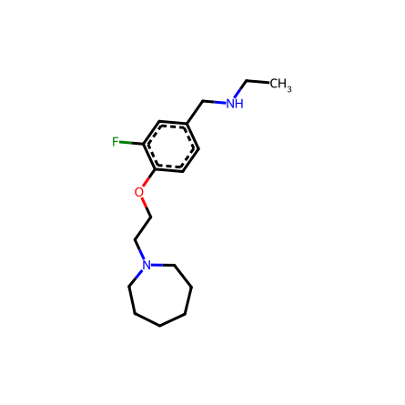 CCNCc1ccc(OCCN2CCCCCC2)c(F)c1